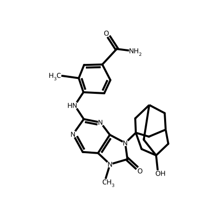 Cc1cc(C(N)=O)ccc1Nc1ncc2c(n1)n(C13CC4CC(CC(O)(C4)C1)C3)c(=O)n2C